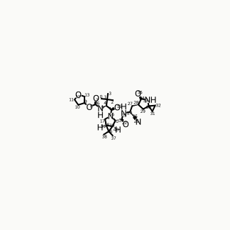 CC(C)(C)[C@H](NC(=O)OC1CCOC1)C(=O)N1C[C@H]2[C@@H]([C@H]1C(=O)N[C@H](C#N)C[C@@H]1CC3(CC3)NC1=O)C2(C)C